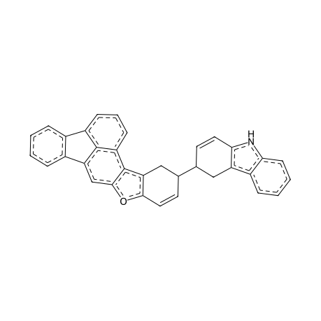 C1=CC(C2C=Cc3oc4cc5c6c(cccc6c4c3C2)-c2ccccc2-5)Cc2c1[nH]c1ccccc21